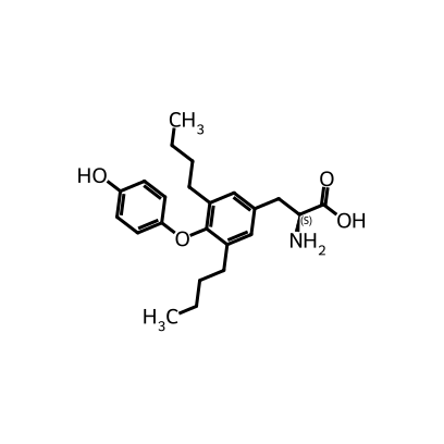 CCCCc1cc(C[C@H](N)C(=O)O)cc(CCCC)c1Oc1ccc(O)cc1